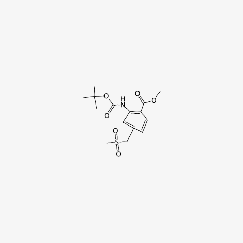 COC(=O)c1ccc(CS(C)(=O)=O)cc1NC(=O)OC(C)(C)C